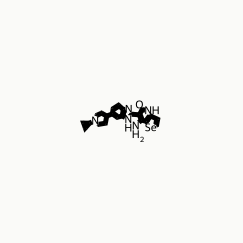 Nc1c(-c2nc3ccc(C4CCN(C5CC5)CC4)cc3[nH]2)c(=O)[nH]c2cc[se]c12